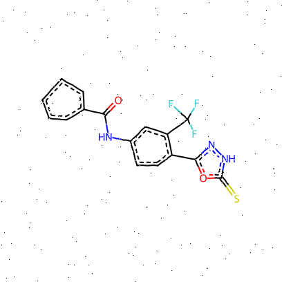 O=C(Nc1ccc(-c2n[nH]c(=S)o2)c(C(F)(F)F)c1)c1ccccc1